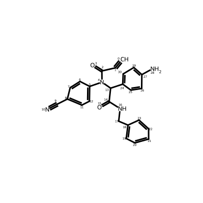 C#CC(=O)N(c1ccc(C#N)cc1)C(C(=O)NCc1ccccc1)c1ccc(N)cc1